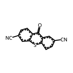 N#Cc1ccc2c(=O)c3cc(C#N)ccc3sc2c1